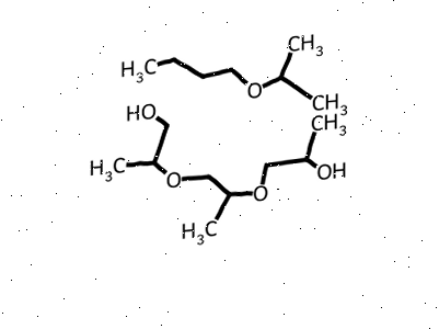 CC(O)COC(C)COC(C)CO.CCCCOC(C)C